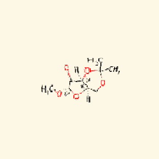 CO[C@H]1O[C@@H]2COC(C)(C)O[C@@H]2C1=O